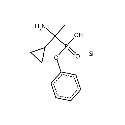 CC(N)(C1CC1)P(=O)(O)Oc1ccccc1.[Si]